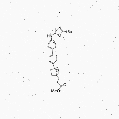 COC(=O)CCC12CCC(c3ccc(-c4ccc(Nc5nnc(C(C)(C)C)o5)cc4)cc3)(CC1)O2